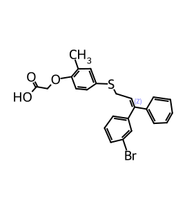 Cc1cc(SC/C=C(/c2ccccc2)c2cccc(Br)c2)ccc1OCC(=O)O